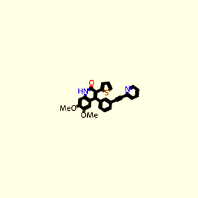 COc1cc2[nH]c(=O)c(-c3cccs3)c(-c3cccc(C#Cc4ccccn4)c3)c2cc1OC